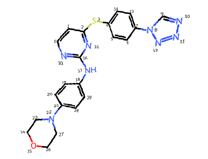 c1cc(Sc2ccc(-n3cnnn3)cc2)nc(Nc2ccc(N3CCOCC3)cc2)n1